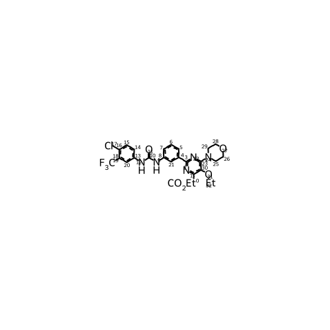 CCOC(=O)c1nc(-c2cccc(NC(=O)Nc3ccc(Cl)c(C(F)(F)F)c3)c2)nc(N2CCOCC2)c1OCC